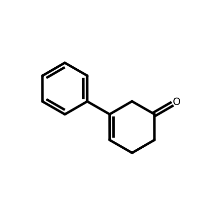 O=C1CCC=C(c2ccccc2)C1